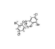 Clc1cc(Br)c2c(c1)C1Oc3c(Br)cc(Cl)cc3C(O2)O1